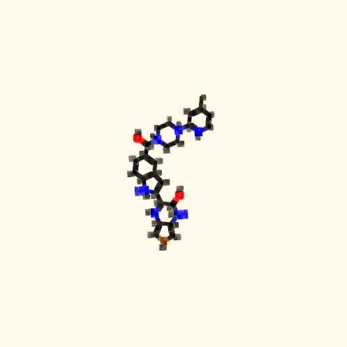 Cc1ccnc(N2CCN(C(=O)c3ccc4[nH]c(-c5nc6cscc6[nH]c5=O)cc4c3)CC2)c1